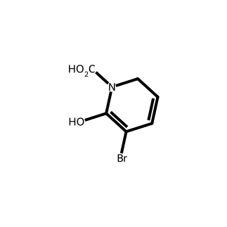 O=C(O)N1CC=CC(Br)=C1O